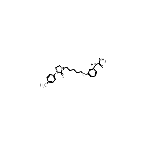 Cc1ccc(N2CCN(CCCCCOc3cccc(NC(N)=S)c3)C2=S)cc1